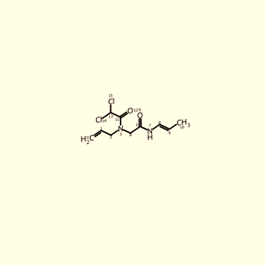 C=CCN(CC(=O)NC=CC)C(=O)C(Cl)Cl